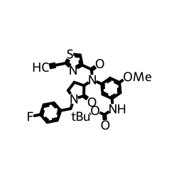 C#Cc1nc(C(=O)N(c2cc(NC(=O)OC(C)(C)C)cc(OC)c2)C2CCN(Cc3ccc(F)cc3)C2=O)cs1